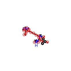 COc1ccc(C(OC[C@H]2O[C@@H](n3cc(C)c(=O)[nH]c3=O)CC2OP(=O)(OCCOCCOCCOCCO[C@@H]2O[C@H](COC(C)=O)[C@H](OC(C)=O)[C@H](OC(C)=O)[C@@H]2NC(C)=O)N(C(C)C)C(C)C)(c2ccccc2)c2ccc(OC)cc2)cc1